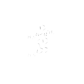 Cc1cc2cccc3c4ccc(N(C)C5=CN(C)Cc6ccccc65)c5cccc(c(c1)c23)c54